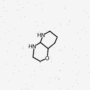 [CH]1CNC2NCCCC2O1